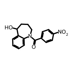 O=C(c1ccc([N+](=O)[O-])cc1)N1CCCC(O)c2ccccc21